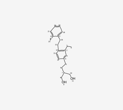 CCc1cc(CCC(CO)CO)ccc1CCc1ccccc1F